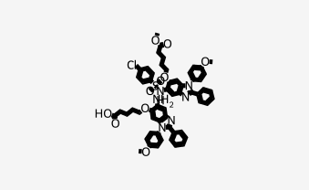 COC(=O)CCCCOc1cc2c(cc1NS(=O)(=O)c1ccc(Cl)cc1)nc(-c1ccccc1)n2-c1ccc(OC)cc1.COc1ccc(-n2c(-c3ccccc3)nc3cc(N)c(OCCCCC(=O)O)cc32)cc1